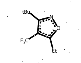 CCc1onc(C(C)(C)C)c1C(F)(F)F